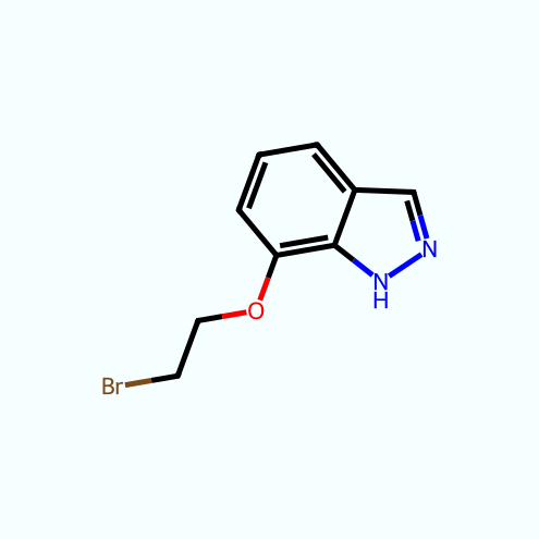 BrCCOc1cccc2cn[nH]c12